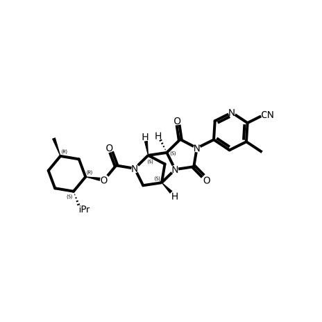 Cc1cc(N2C(=O)[C@@H]3[C@@H]4C[C@@H](CN4C(=O)O[C@@H]4C[C@H](C)CC[C@H]4C(C)C)N3C2=O)cnc1C#N